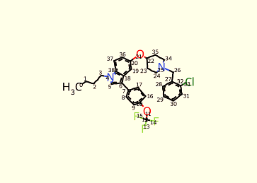 CCCCn1cc(-c2ccc(OC(F)(F)F)cc2)c2cc(OC3CCN(Cc4ccccc4Cl)CC3)ccc21